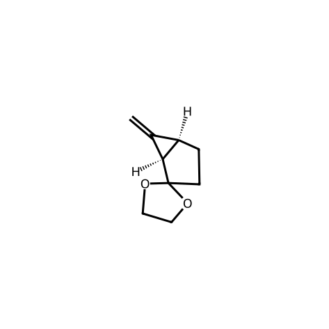 C=C1[C@H]2CCC3(OCCO3)[C@@H]12